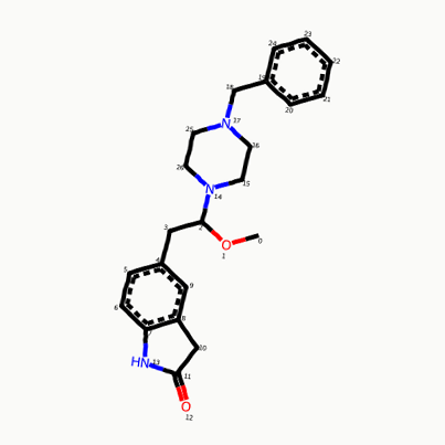 COC(Cc1ccc2c(c1)CC(=O)N2)N1CCN(Cc2ccccc2)CC1